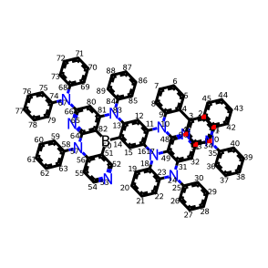 c1ccc(-c2ccccc2N2c3cc4c(cc3N3c5ccccc5N(c5ccccc5)c5cc(N(c6ccccc6)c6ccccc6)nc2c53)B2c3cnccc3N(c3ccccc3)c3nc(N(c5ccccc5)c5ccccc5)cc(c32)N4c2ccccc2)cc1